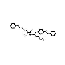 NC(COCCCc1ccccc1)C(=O)NC(CCC(=O)O)Cc1ccc(OCc2ccccc2)cc1